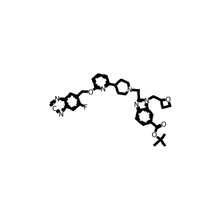 CC(C)(C)OC(=O)c1ccc2nc(CN3CCC(c4cccc(OCc5cc6nccnc6cc5F)n4)CC3)n(CC3CCO3)c2c1